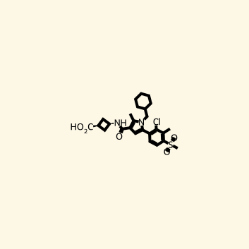 Cc1c(S(C)(=O)=O)ccc(-c2cc(C(=O)N[C@H]3C[C@H](C(=O)O)C3)c(C)n2CC2CCCCC2)c1Cl